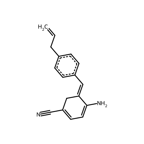 C=CCc1ccc(C=C2CC(C#N)=CC=C2N)cc1